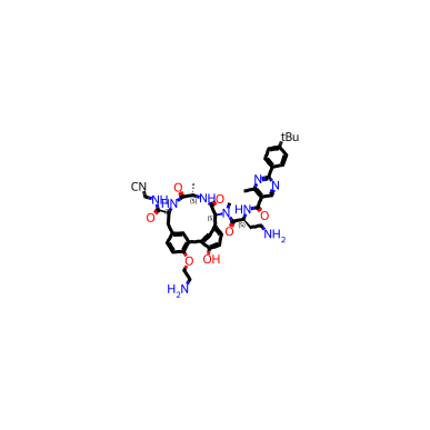 Cc1nc(-c2ccc(C(C)(C)C)cc2)ncc1C(=O)N[C@@H](CCN)C(=O)N(C)[C@@H]1C(=O)N[C@@H](C)C(=O)N[C@H](C(=O)NCC#N)Cc2ccc(OCCN)c(c2)-c2cc1ccc2O